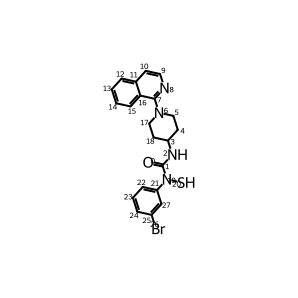 O=C(NC1CCN(c2nccc3ccccc23)CC1)N(S)c1cccc(Br)c1